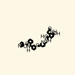 O=C(N[C@@H](c1ccccc1)c1cccc(OCc2ccc(CNCC(O)c3ccc(O)c4[nH]c(=O)ccc34)nc2)c1)OC1CN2CCC1CC2